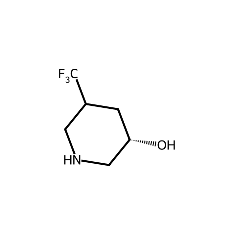 O[C@@H]1CNCC(C(F)(F)F)C1